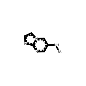 CCNc1cnc2nccn2c1